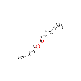 C#CCCCCOCOCCCCCCC